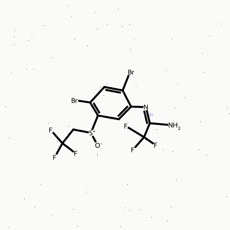 N/C(=N/c1cc([S+]([O-])CC(F)(F)F)c(Br)cc1Br)C(F)(F)F